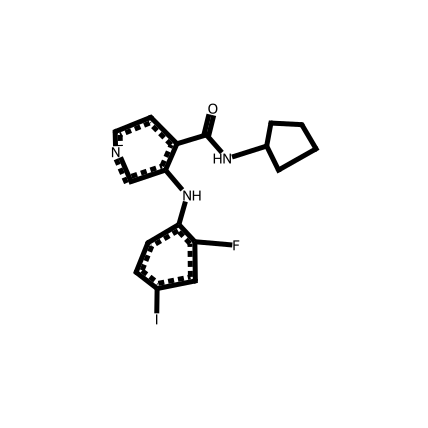 O=C(NC1CCCC1)c1ccncc1Nc1ccc(I)cc1F